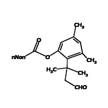 CCCCCCCCCC(=O)Oc1cc(C)cc(C)c1C(C)(C)CC=O